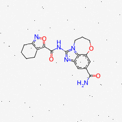 NC(=O)c1cc2c3c(c1)nc(NC(=O)c1onc4c1CCCC4)n3CCCO2